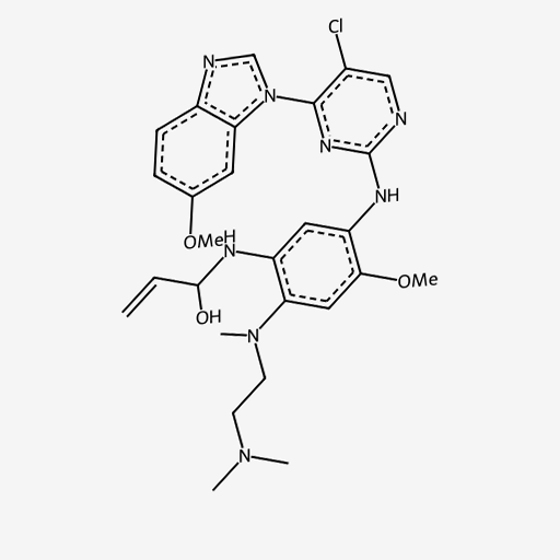 C=CC(O)Nc1cc(Nc2ncc(Cl)c(-n3cnc4ccc(OC)cc43)n2)c(OC)cc1N(C)CCN(C)C